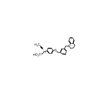 CC#C[C@@H](CC(=O)O)c1ccc(OCc2cccc(CN3CCCc4ccccc43)c2)cc1